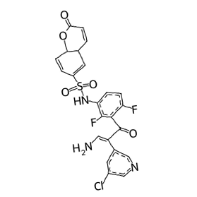 N/C=C(/C(=O)c1c(F)ccc(NS(=O)(=O)C2=CC3C=CC(=O)OC3C=C2)c1F)c1cncc(Cl)c1